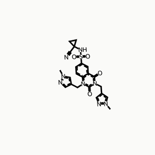 Cn1cc(Cn2c(=O)c3cc(S(=O)(=O)NC4(C#N)CC4)ccc3n(Cc3cnn(C)c3)c2=O)cn1